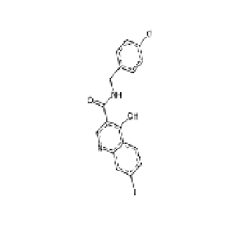 O=C(NCc1ccc(Cl)cc1)c1cnc2cc(I)ccc2c1O